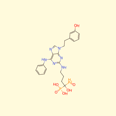 O=[PH2]C(O)(CCCNc1nc(Nc2ccccc2)c2ncn(CCc3cccc(O)c3)c2n1)P(=O)(O)O